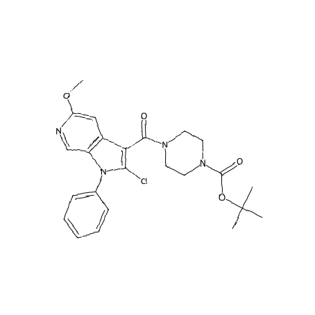 COc1cc2c(C(=O)N3CCN(C(=O)OC(C)(C)C)CC3)c(Cl)n(-c3ccccc3)c2cn1